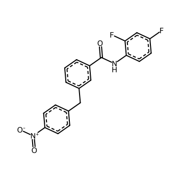 O=C(Nc1ccc(F)cc1F)c1cccc(Cc2ccc([N+](=O)[O-])cc2)c1